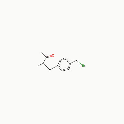 CC(=O)C(C)Cc1ccc(CBr)cc1